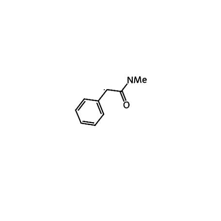 CNC(=O)[CH]c1ccccc1